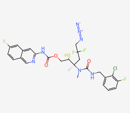 CN(C(=O)NCc1cccc(F)c1Cl)[C@](C)(CC(F)(F)CN=[N+]=[N-])C(S)COC(=O)Nc1cc2cc(F)ccc2cn1